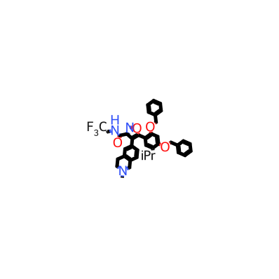 CC(C)c1cc(-c2onc(C(=O)NCC(F)(F)F)c2-c2ccc3c(c2)CCN(C)C3)c(OCc2ccccc2)cc1OCc1ccccc1